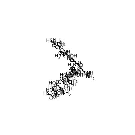 CC(C)C[C@H](N)C(=O)O.CC(C)C[C@H](N)C(=O)O.C[C@@H](OC(=O)[C@@H](N)CO)[C@H](N)C(=O)OC[C@H](N)C(=O)O.N=C(N)NCCC[C@H](N)C(=O)O.N=C(N)NCCC[C@H](N)C(=O)OC(=O)[C@@H](N)Cc1ccccc1.N[C@@H](CC(=O)O)C(=O)O.N[C@@H](CS)C(=O)O.N[C@@H](CS)C(=O)O.N[C@@H](Cc1ccccc1)C(=O)O.O=C(O)[C@@H]1CCCN1